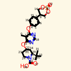 Cc1c(Oc2ccc(C3COS(=O)OC3)cc2)ncnc1O[C@@H]1CCN(C(=O)O)[C@H](C(C)(C)C)C1